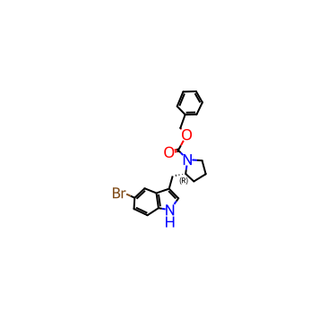 O=C(OCc1ccccc1)N1CCC[C@@H]1Cc1c[nH]c2ccc(Br)cc12